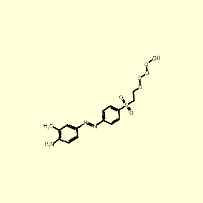 Cc1cc(/N=N/c2ccc(S(=O)(=O)CCOSOOO)cc2)ccc1N